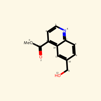 COC(=O)c1ccnc2ccc(CO)cc12